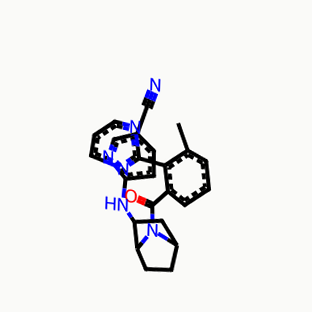 Cc1cccc(C(=O)N2C3CCC2C(Nc2ccc(C#N)cn2)C3)c1-c1ncccn1